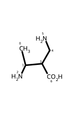 CC(N)C(CN)C(=O)O